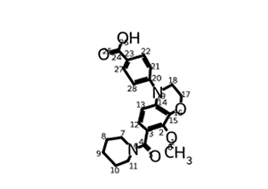 COc1c(C(=O)N2CCCCC2)ccc2c1OCCN2c1ccc(C(=O)O)cc1